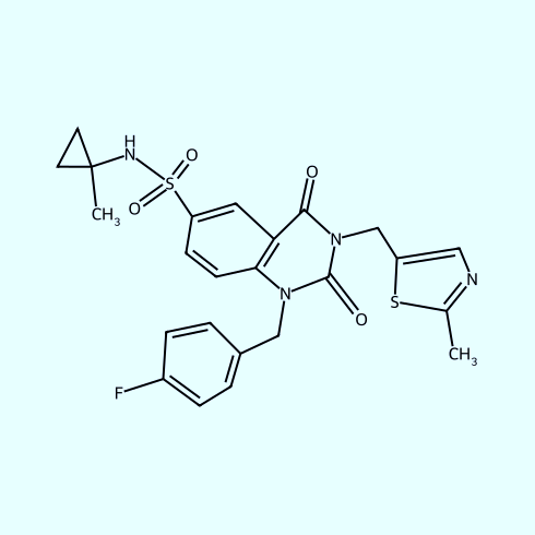 Cc1ncc(Cn2c(=O)c3cc(S(=O)(=O)NC4(C)CC4)ccc3n(Cc3ccc(F)cc3)c2=O)s1